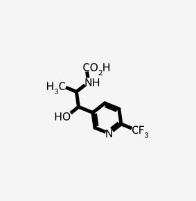 CC(NC(=O)O)C(O)c1ccc(C(F)(F)F)nc1